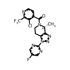 C[C@@H]1c2nnn(-c3ncc(F)cn3)c2CCN1C(=O)c1ccnc(C(F)(F)F)c1Cl